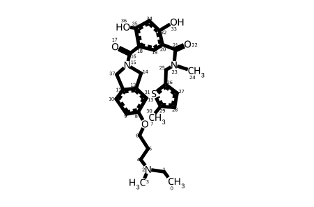 CCN(C)CCCOc1ccc2c(c1)CN(C(=O)c1cc(C(=O)N(C)Cc3ccc(C)s3)c(O)cc1O)C2